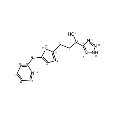 OC(CCc1ccc(Cc2ccccn2)[nH]1)c1nn[nH]n1